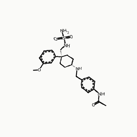 COc1cccc([C@]2(CNS(N)(=O)=O)CC[C@@H](NCc3ccc(NC(C)=O)cc3)CC2)c1